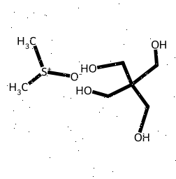 C[S+](C)[O-].OCC(CO)(CO)CO